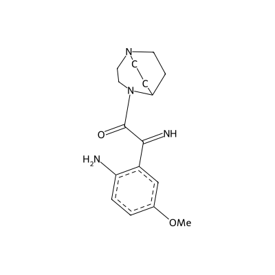 COc1ccc(N)c(C(=N)C(=O)N2CCN3CCC2CC3)c1